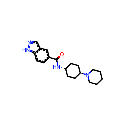 O=C(N[C@H]1CC[C@H](N2CCCCC2)CC1)c1ccc2[nH]ncc2c1